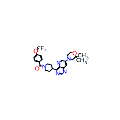 CC1(C)CN(c2cnc3c(C4CCN(C(=O)c5ccc(OC(F)(F)F)cc5)CC4)ncnc3c2)CCO1